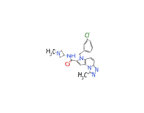 Cc1nnc2ccc3c(cc(C(=O)NC4CN(C)C4)n3Cc3cccc(Cl)c3)n12